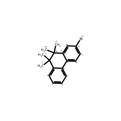 CC1(C)c2ccccc2-c2ccc(Br)cc2C1(C)C